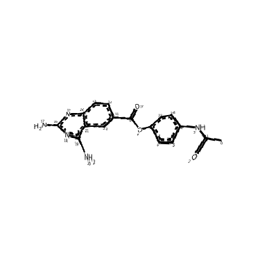 CC(=O)Nc1ccc(OC(=O)c2ccc3nc(N)nc(N)c3c2)cc1